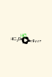 CCCCCc1ccc(C(=O)O)cc1.Cl